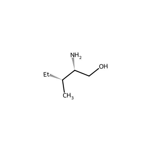 CC[C@@H](C)[C@H](N)CO